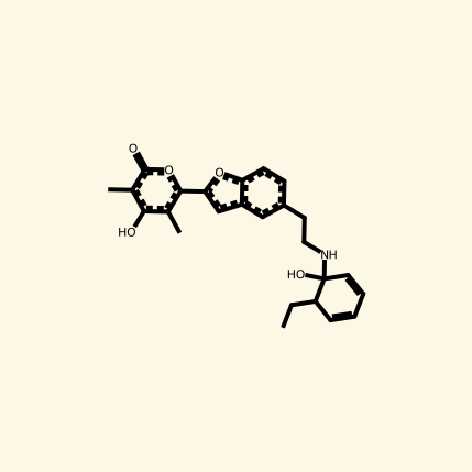 CCC1C=CC=CC1(O)NCCc1ccc2oc(-c3oc(=O)c(C)c(O)c3C)cc2c1